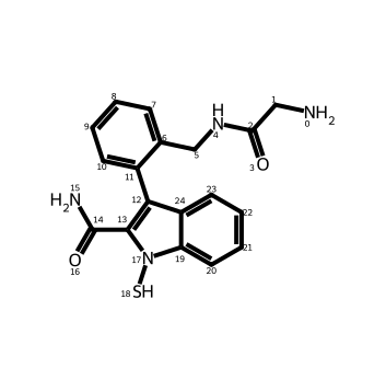 NCC(=O)NCc1ccccc1-c1c(C(N)=O)n(S)c2ccccc12